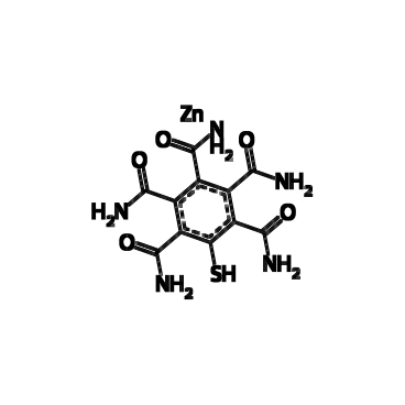 NC(=O)c1c(S)c(C(N)=O)c(C(N)=O)c(C(N)=O)c1C(N)=O.[Zn]